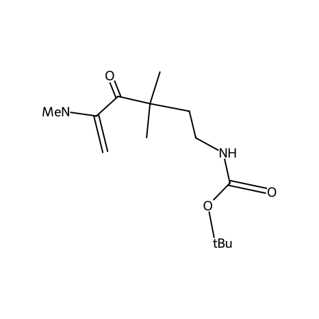 C=C(NC)C(=O)C(C)(C)CCNC(=O)OC(C)(C)C